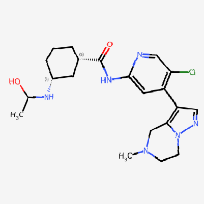 CC(O)N[C@@H]1CCC[C@H](C(=O)Nc2cc(-c3cnn4c3CN(C)CC4)c(Cl)cn2)C1